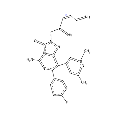 Cc1cc(-c2c(-c3ccc(F)cc3)nc(N)n3c(=O)n(CC(=N)/C=C\C=N)nc23)cc(C)n1